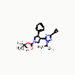 CC(C)n1nc(C2CC2)nc1C1CN(C(=O)OC(C)(C)C)CC1c1ccccc1